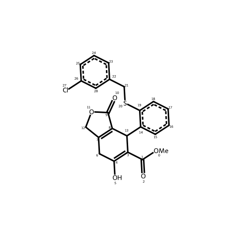 COC(=O)C1=C(O)CC2=C(C(=O)OC2)C1c1ccccc1SCc1cccc(Cl)c1